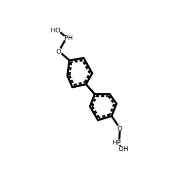 OPOc1ccc(-c2ccc(OPO)cc2)cc1